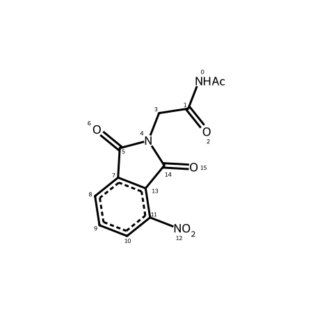 CC(=O)NC(=O)CN1C(=O)c2cccc([N+](=O)[O-])c2C1=O